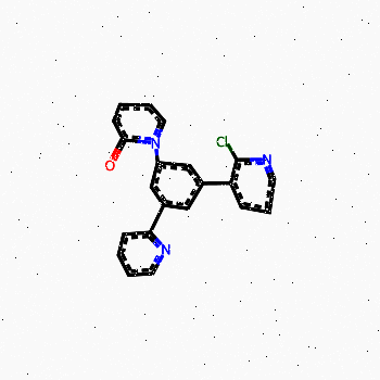 O=c1ccccn1-c1cc(-c2ccccn2)cc(-c2cccnc2Cl)c1